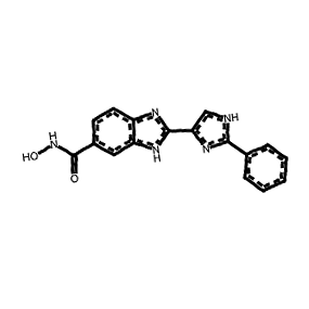 O=C(NO)c1ccc2nc(-c3c[nH]c(-c4ccccc4)n3)[nH]c2c1